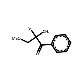 COCC(C)(Br)C(=O)c1ccccc1